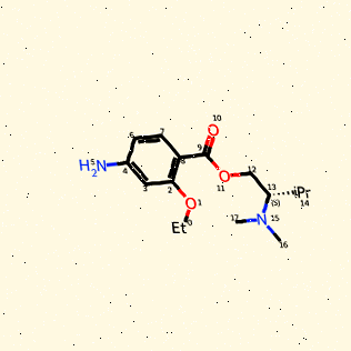 CCOc1cc(N)ccc1C(=O)OC[C@H](C(C)C)N(C)C